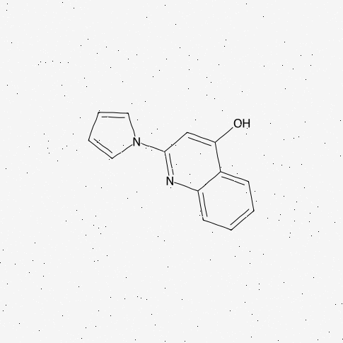 Oc1cc(-n2cccc2)nc2ccccc12